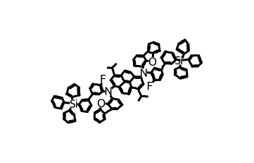 CC(C)c1cc(N(c2cc(-c3cccc([Si](c4ccccc4)(c4ccccc4)c4ccccc4)c3)ccc2F)c2cccc3c2oc2ccccc23)c2ccc3c(C(C)C)cc(N(c4cc(-c5cccc([Si](c6ccccc6)(c6ccccc6)c6ccccc6)c5)ccc4F)c4cccc5c4oc4ccccc45)c4ccc1c2c34